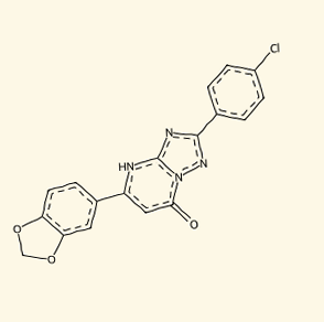 O=c1cc(-c2ccc3c(c2)OCO3)[nH]c2nc(-c3ccc(Cl)cc3)nn12